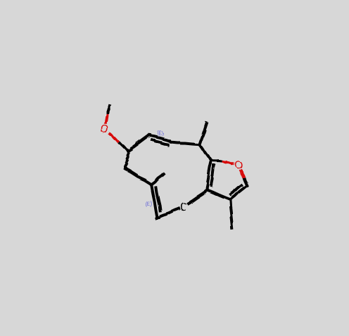 COC1/C=C/C(C)c2occ(C)c2C/C=C(\C)C1